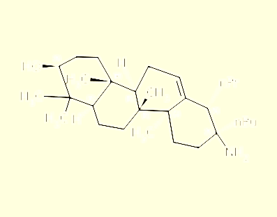 CCCC[C@]1(N)CC[C@]2(C)C(=CC[C@@H]3[C@@]4(C)CC[C@H](O)C(C)(C)[C@@H]4CC[C@]32C)[C@@H]1CCC